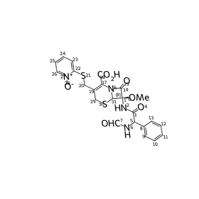 CO[C@]1(NC(=O)C(NC=O)c2ccccc2)C(=O)N2C(C(=O)O)=C(CSc3cccc[n+]3[O-])CSC21